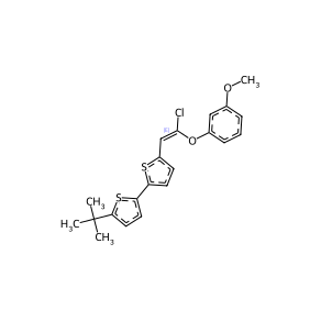 COc1cccc(O/C(Cl)=C\c2ccc(-c3ccc(C(C)(C)C)s3)s2)c1